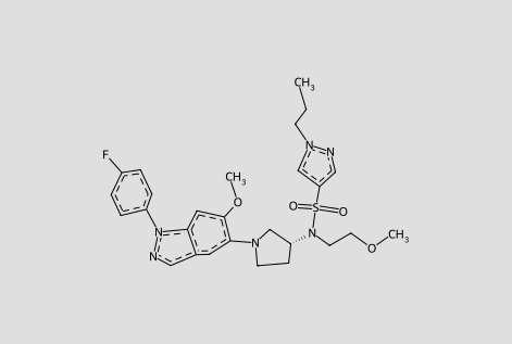 CCCn1cc(S(=O)(=O)N(CCOC)[C@@H]2CCN(c3cc4cnn(-c5ccc(F)cc5)c4cc3OC)C2)cn1